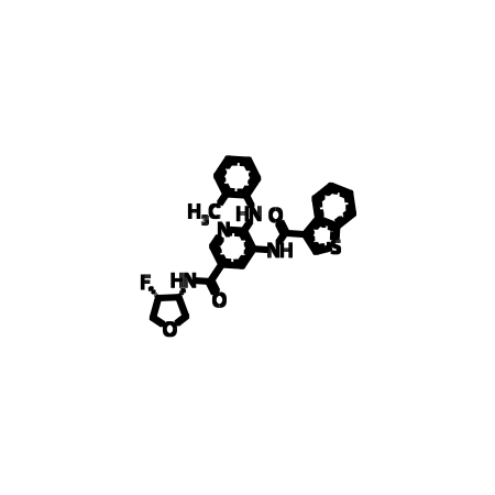 Cc1ccccc1Nc1ncc(C(=O)N[C@@H]2COC[C@@H]2F)cc1NC(=O)c1csc2ccccc12